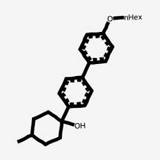 CCCCCCOc1ccc(-c2ccc(C3(O)CCC(C)CC3)cc2)cc1